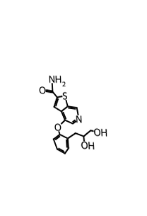 NC(=O)c1cc2c(Oc3ccccc3CC(O)CO)cncc2s1